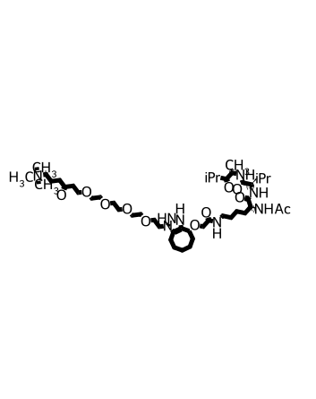 CC(=O)N[C@H](CCCCNC(=O)COC1CCCCCC2=C1NNN2CCOCCOCCOCCOCCC(=O)CCC[N+](C)(C)C)C(=O)N[C@H](C(=O)N[C@@H](C)C(=O)C(C)C)C(C)C